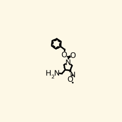 CO/N=C1/CN(C(=O)OCc2ccccc2)CC1CN